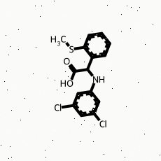 CSc1ccccc1C(Nc1cc(Cl)cc(Cl)c1)C(=O)O